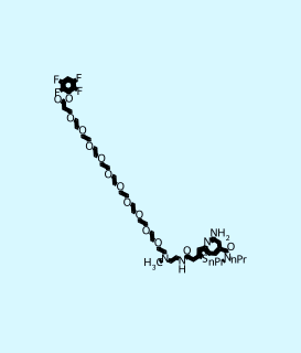 CCCN(CCC)C(=O)C1=Cc2sc(CC(=O)NCCN(C)CCOCCOCCOCCOCCOCCOCCOCCOCCOCCOCCC(=O)Oc3c(F)c(F)cc(F)c3F)cc2N=C(N)C1